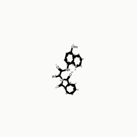 COc1ccc(NC(=O)C(C(C)C)N2C(=O)c3ccccc3C2=O)c2ncccc12